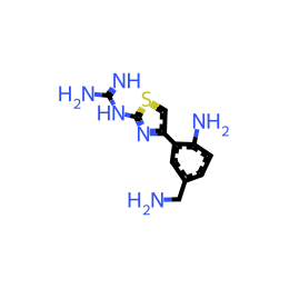 N=C(N)Nc1nc(-c2cc(CN)ccc2N)cs1